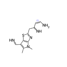 Cc1c(C=N)c2sc(CC(=N)/C=C\N)nc2n1C